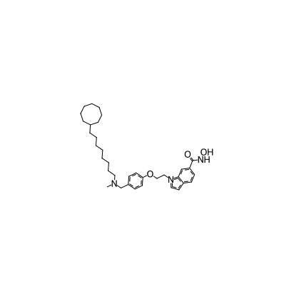 CN(CCCCCCCCC1CCCCCCC1)Cc1ccc(OCCn2ccc3ccc(C(=O)NO)cc32)cc1